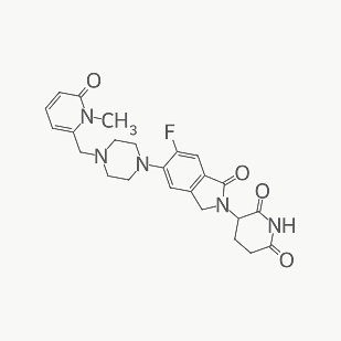 Cn1c(CN2CCN(c3cc4c(cc3F)C(=O)N(C3CCC(=O)NC3=O)C4)CC2)cccc1=O